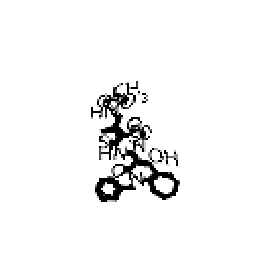 CS(=O)(=O)NCc1csc2c1S(=O)(=O)N=C(C1=C(O)C3CCCCCC3N(Cc3ccccc3)C1=O)N2